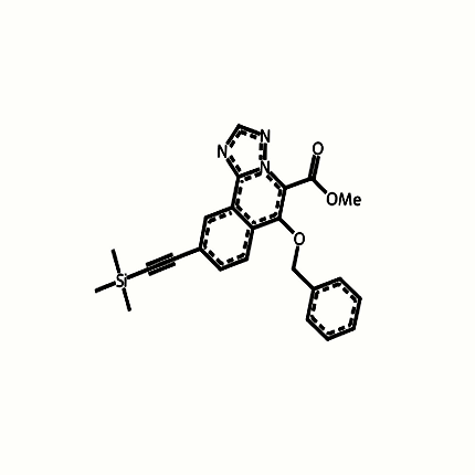 COC(=O)c1c(OCc2ccccc2)c2ccc(C#C[Si](C)(C)C)cc2c2ncnn12